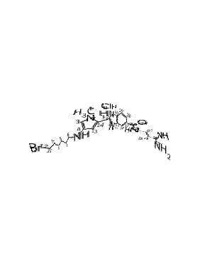 Cl.Cn1cc(NCCCCCCBr)cc1-c1nc2cc(C(=O)NCCC(=N)N)ccc2[nH]1